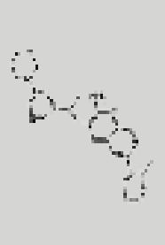 CC(=Cc1cc2cc(-c3ccccc3C)ccc2nc1N)c1cncc(C2=CCCCC2)c1